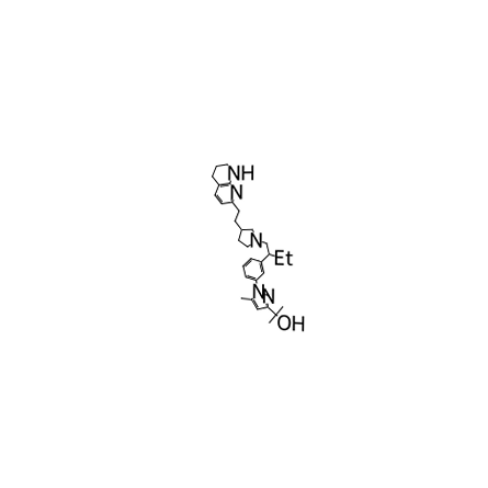 CCC(CN1CCC(CCc2ccc3c(n2)NCCC3)C1)c1cccc(-n2nc(C(C)(C)O)cc2C)c1